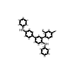 Cc1ccc(-c2cc(-c3ccc(Nc4ccccc4)cc3)ccc2Nc2ccccc2)c(C)c1